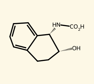 O=C(O)N[C@H]1c2ccccc2CC[C@H]1O